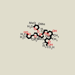 CO[C@@H]1[C@@H](OC)[C@H](C)[C@@](O)(CC(=O)O)O[C@H]1[C@H](C)[C@H]1O[C@@]2(CC[C@@](C)([C@H]3CC[C@@](C)([C@@H]4O[C@@H]([C@H]5O[C@](C)(O)[C@@H](C)C[C@@H]5C)C[C@@H]4O[C@@H]4C[C@H](OC)[C@@H](OC)[C@H](C)O4)O3)O2)C[C@H](O)[C@H]1C